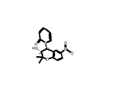 CC1(C)Oc2ccc([N+](=O)[O-])cc2[C@H](n2ccccc2=O)[C@H]1O